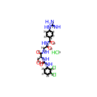 Cl.N=C(N)Nc1ccc(C(=O)NC(=O)CNC(=O)[C@H](CO)NC(=O)Nc2cccc(Cl)c2Cl)cc1